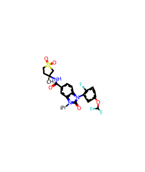 CC(C)n1c(=O)n(-c2cc(OC(F)F)ccc2F)c2ccc(C(=O)N[C@]3(C)CCS(=O)(=O)C3)cc21